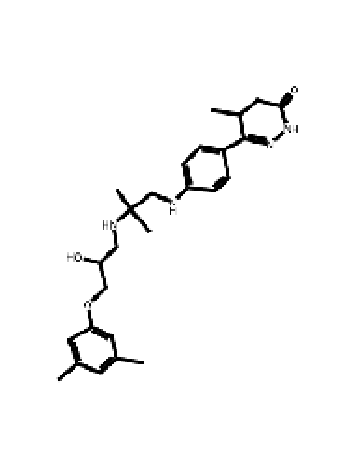 Cc1cc(C)cc(OCC(O)CNC(C)(C)CNc2ccc(C3=NNC(=O)CC3C)cc2)c1